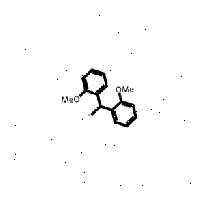 [CH2]C(c1ccccc1OC)c1ccccc1OC